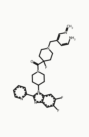 C=N/C=C(\C=C/N)CN1CCC(F)(C(=O)N2CCC(n3c(-c4ccccn4)nc4cc(F)c(F)cc43)CC2)CC1